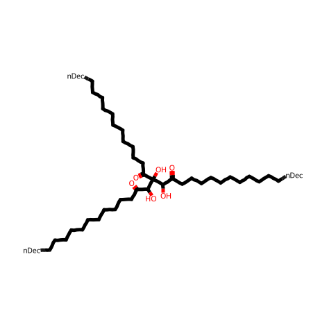 CCCCCCCCCCCCCCCCCCCCCC(=O)C(O)C(O)(C(=O)CCCCCCCCCCCCCCCCCCCCC)C(O)C(=O)CCCCCCCCCCCCCCCCCCCCC